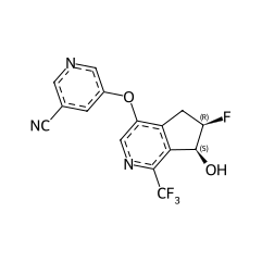 N#Cc1cncc(Oc2cnc(C(F)(F)F)c3c2C[C@@H](F)[C@H]3O)c1